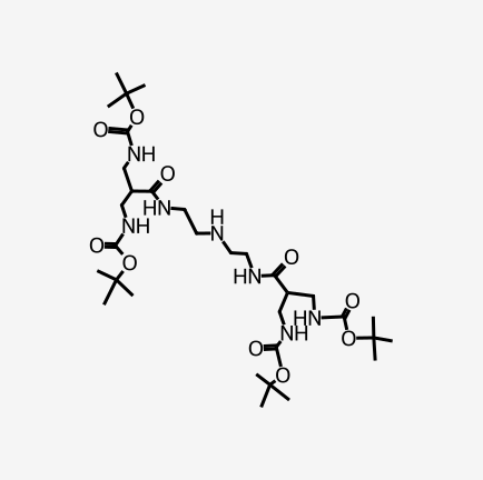 CC(C)(C)OC(=O)NCC(CNC(=O)OC(C)(C)C)C(=O)NCCNCCNC(=O)C(CNC(=O)OC(C)(C)C)CNC(=O)OC(C)(C)C